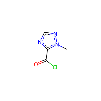 Cn1ncnc1C(=O)Cl